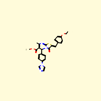 CC1=C(C(=O)OC(C)C)C(c2ccc(-n3ccnc3)cc2)n2c(s/c(=C\c3ccc(OCC(=O)O)cc3)c2=O)=N1